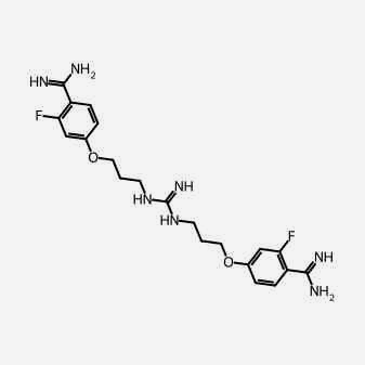 N=C(NCCCOc1ccc(C(=N)N)c(F)c1)NCCCOc1ccc(C(=N)N)c(F)c1